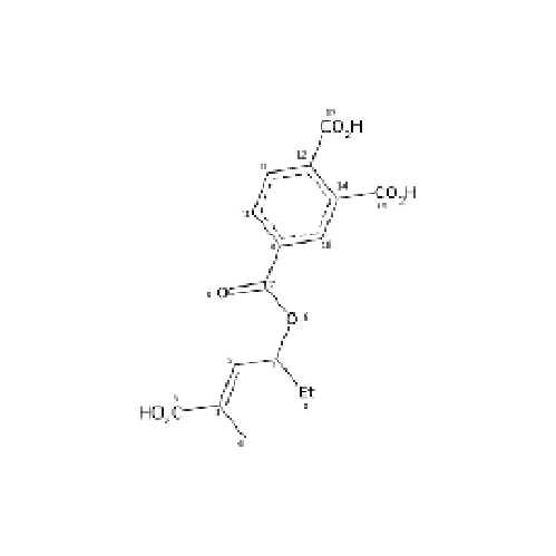 CCC(C=C(C)C(=O)O)OC(=O)c1ccc(C(=O)O)c(C(=O)O)c1